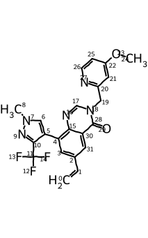 C=Cc1cc(-c2cn(C)nc2C(F)(F)F)c2ncn(Cc3cc(OC)ccn3)c(=O)c2c1